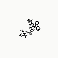 C=C1c2cc(C3(c4ccc5c(c4)CN(c4ccc(-c6ccc(C(C)(C)C)cc6C(F)(F)F)c(C(F)(F)F)c4)C5O)c4ccccc4-c4ccccc43)ccc2CN1C(C)(C)C